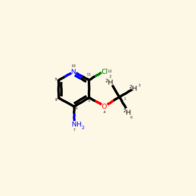 [2H]C([2H])([2H])Oc1c(N)ccnc1Cl